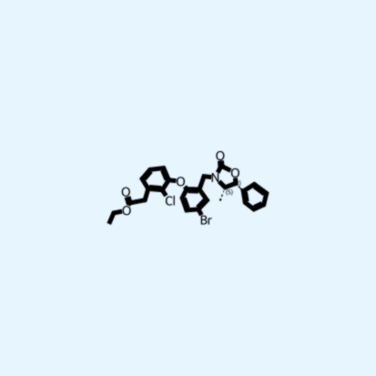 CCOC(=O)Cc1cccc(Oc2ccc(Br)cc2CN2C(=O)O[C@H](c3ccccc3)[C@@H]2C)c1Cl